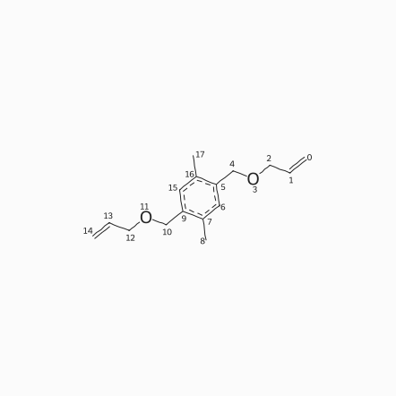 C=CCOCc1cc(C)c(COCC=C)cc1C